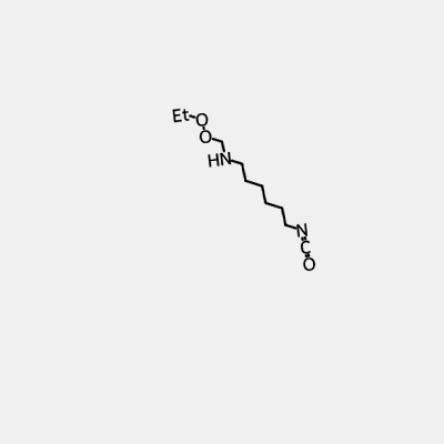 CCOOCNCCCCCCN=C=O